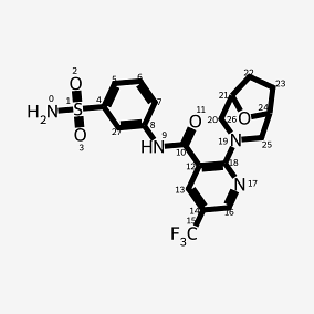 NS(=O)(=O)c1cccc(NC(=O)c2cc(C(F)(F)F)cnc2N2CC3CCC(C2)O3)c1